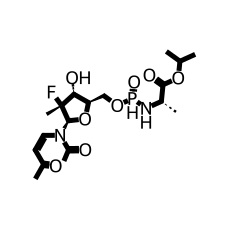 CC(=O)/C=C\N(C(C)=O)[C@@H]1O[C@H](CO[PH](=O)N[C@@H](C)C(=O)OC(C)C)[C@@H](O)[C@@]1(C)F